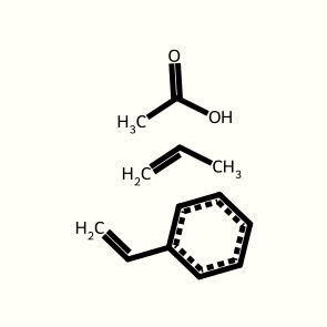 C=CC.C=Cc1ccccc1.CC(=O)O